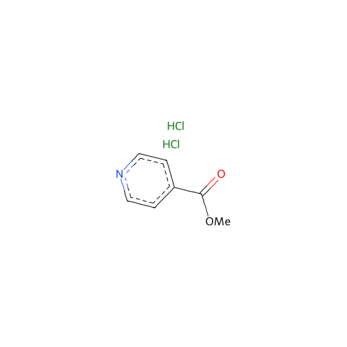 COC(=O)c1ccncc1.Cl.Cl